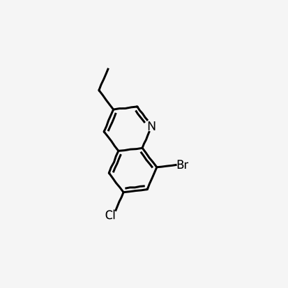 CCc1cnc2c(Br)cc(Cl)cc2c1